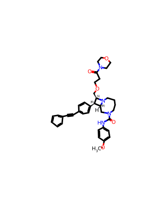 COc1ccc(NC(=O)N2CCCCN3[C@H](COCCC(=O)N4CCOCC4)[C@H](c4ccc(C#Cc5ccccc5)cc4)[C@@H]3C2)cc1